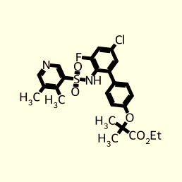 CCOC(=O)C(C)(C)Oc1ccc(-c2cc(Cl)cc(F)c2NS(=O)(=O)c2cncc(C)c2C)cc1